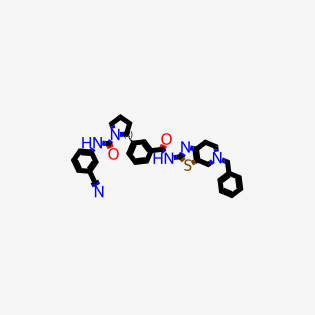 N#Cc1cccc(NC(=O)N2CCC[C@@H]2c2cccc(C(=O)Nc3nc4c(s3)CN(Cc3ccccc3)CC4)c2)c1